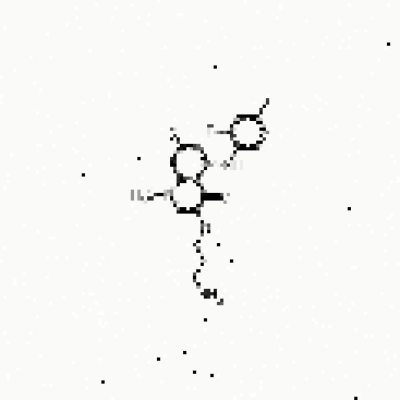 Cn1cc(OCCCN)c(=O)c2c(Nc3ccc(I)cc3F)cc(F)cc21